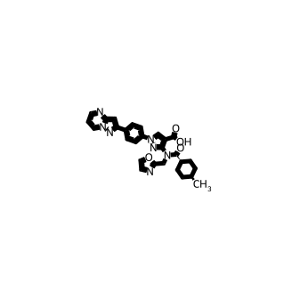 C[C@H]1CC[C@H](C(=O)N(Cc2ncco2)c2nn(-c3ccc(-c4cc5ncccn5n4)cc3)cc2C(=O)O)CC1